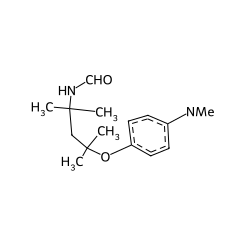 CNc1ccc(OC(C)(C)CC(C)(C)NC=O)cc1